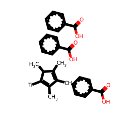 CC1=C(C)C(C)[C]([Ti])=C1C.O=C(O)c1ccccc1.O=C(O)c1ccccc1.O=C(O)c1ccccc1